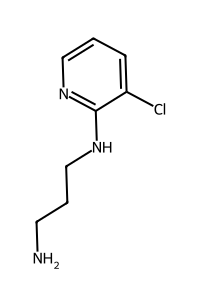 NCCCNc1ncccc1Cl